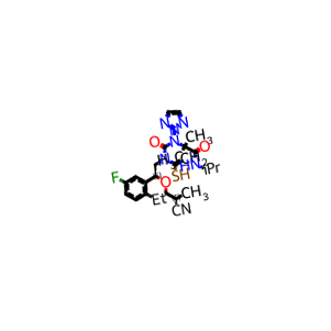 C=C(S)N(C[C@@H](OC[C@@H](C)C#N)c1cc(F)ccc1CC)C(=O)N(n1nccn1)C(C)(C)C(=O)NC(C)C